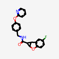 O=C(NCc1ccc(Oc2ccccn2)cc1)C1C2Oc3ccc(F)cc3C21